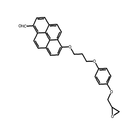 O=Cc1ccc2ccc3c(OCCCOc4ccc(OCC5CO5)cc4)ccc4ccc1c2c43